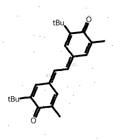 CC1=C/C(=C/C=C2\C=C(C)C(=O)C(C(C)(C)C)=C2)C=C(C(C)(C)C)C1=O